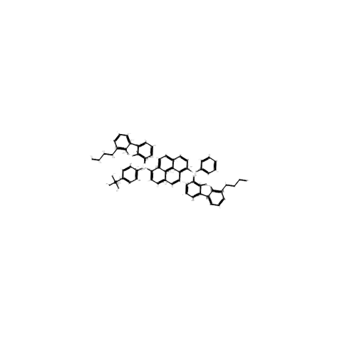 CCCCc1cccc2c1oc1c(N(c3ccccc3)c3ccc4ccc5c(N(c6ccc(C(C)(C)C)cc6)c6cccc7c6oc6c(CCCC)cccc67)ccc6ccc3c4c65)cccc12